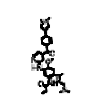 C=CC(=O)Nc1cc(Nc2cc(C(=O)c3ccc(-c4cnn(C)c4)cc3)ccn2)c(OC)cc1N(C)CCN(C)C